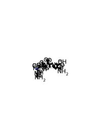 NC(=O)c1cc[n+](CC2=C(C(=O)[O-])N3C(=O)[C@@H](NC(=O)/C(=N\O)c4nsc(N)n4)[C@H]3SC2)cc1C(=O)O